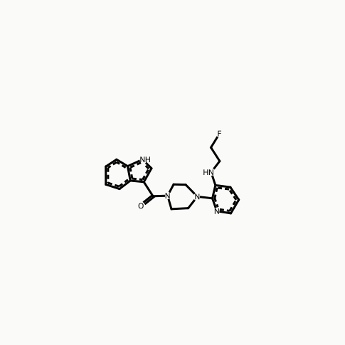 O=C(c1c[nH]c2ccccc12)N1CCN(c2ncccc2NCCF)CC1